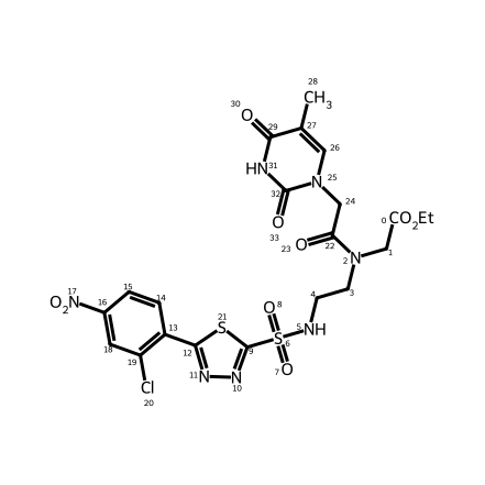 CCOC(=O)CN(CCNS(=O)(=O)c1nnc(-c2ccc([N+](=O)[O-])cc2Cl)s1)C(=O)Cn1cc(C)c(=O)[nH]c1=O